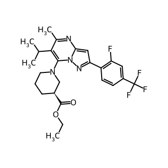 CCOC(=O)[C@H]1CCCN(c2c(C(C)C)c(C)nc3cc(-c4ccc(C(F)(F)F)cc4F)nn23)C1